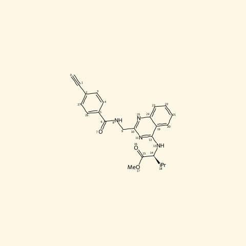 C#Cc1ccc(C(=O)NCc2nc(N[C@H](C(=O)OC)C(C)C)c3ccccc3n2)cc1